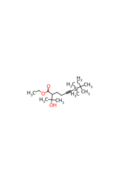 CCOC(=O)C(CCC#C[Si](C)(C)C(C)(C)C)C(C)(C)O